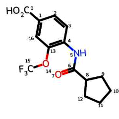 O=C(O)c1ccc(NC(=O)C2CCCC2)c(OC(F)(F)F)c1